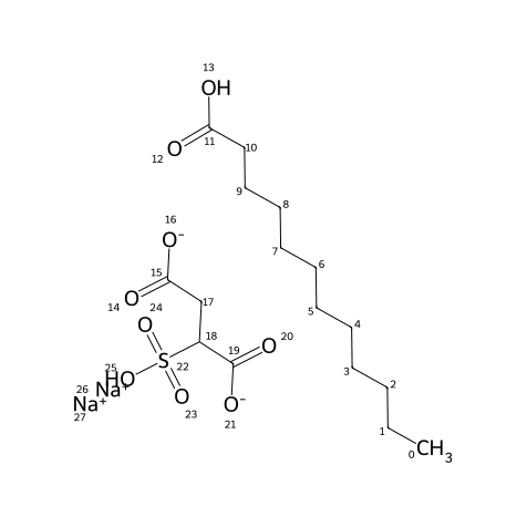 CCCCCCCCCCCC(=O)O.O=C([O-])CC(C(=O)[O-])S(=O)(=O)O.[Na+].[Na+]